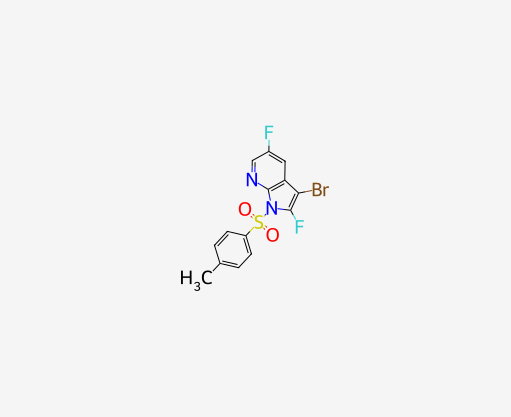 Cc1ccc(S(=O)(=O)n2c(F)c(Br)c3cc(F)cnc32)cc1